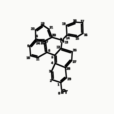 CC(C)c1ccc2c(-c3ccccc3)c(N(c3ccccc3)c3ccccc3)ccc2c1